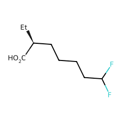 CC[C@@H](CCCCC(F)F)C(=O)O